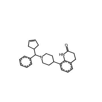 O=C1CCc2cccc(C3CCN(C(c4ccccc4)C4CC=CC4)CC3)c2N1